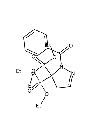 CCOP(=O)(OCC)C1(P(=O)(OCC)OCC)CC=NN1C(=O)c1ccccc1